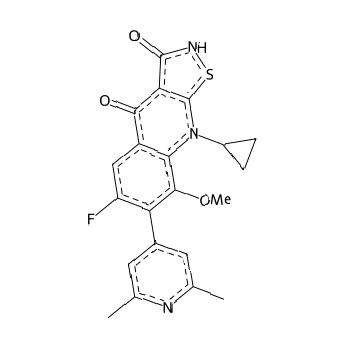 COc1c(-c2cc(C)nc(C)c2)c(F)cc2c(=O)c3c(=O)[nH]sc3n(C3CC3)c12